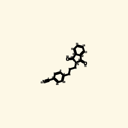 N#Cc1ccc(CCCN2C(=O)c3ccccc3C2=O)cc1